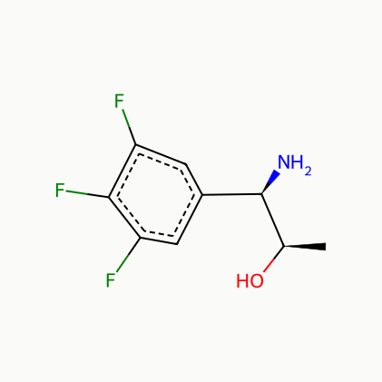 C[C@@H](O)[C@H](N)c1cc(F)c(F)c(F)c1